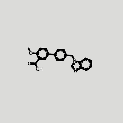 COc1ccc(-c2ccc(Cn3cnc4ccccc43)cc2)cc1C(=O)O